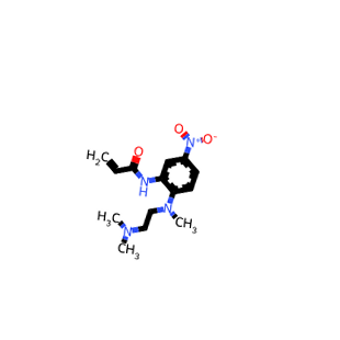 C=CC(=O)Nc1cc([N+](=O)[O-])ccc1N(C)CCN(C)C